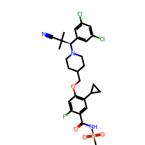 CC(C)(C#N)[C@@H](c1cc(Cl)cc(Cl)c1)N1CCC(COc2cc(F)c(C(=O)NS(C)(=O)=O)cc2C2CC2)CC1